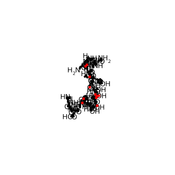 CC(C)C[C@H](NC(=O)[C@H](Cc1ccc(O)cc1)NC(=O)[C@H](CO)NC(=O)[C@H](CO)NC(=O)[C@@H](NC(=O)[C@H](CC(=O)O)NC(=O)[C@H](CO)NC(=O)[C@@H](NC(=O)[C@H](Cc1ccccc1)NC(=O)[C@H](NC(=O)CNC(=O)[C@H](CCC(=O)O)NC(=O)[C@H](C)NC(=O)[C@@H](N)Cc1c[nH]cn1)[C@H](C)O)[C@@H](C)O)C(C)C)C(=O)N[C@@H](CCC(=O)O)C(=O)NCC(=O)N[C@@H](CCC(N)=O)C(=O)N[C@@H](C)C(=O)N[C@@H](C)C(=O)N[C@@H](CCCCN)C(=O)O